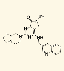 CC(C)N1Cc2c(NCc3cnc4ccccc4c3)nc(N3CCN4CCCC4C3)nc2C1=O